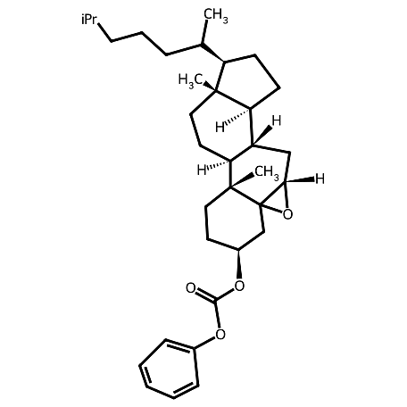 CC(C)CCCC(C)[C@H]1CC[C@H]2[C@@H]3C[C@@H]4OC45C[C@@H](OC(=O)Oc4ccccc4)CC[C@]5(C)[C@H]3CC[C@]12C